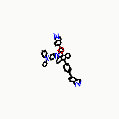 c1ccc(N(c2ccccc2)c2ccc(N(c3ccccc3)c3cccc4c(-c5ccc(-c6ccc7cnccc7c6)cc5)c5ccccc5c(-c5ccc(-c6ccc7cnccc7c6)cc5)c34)cc2)cc1